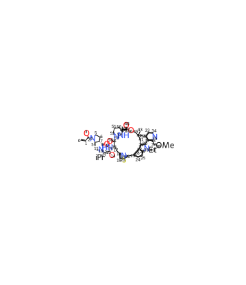 C=CC(=O)N1CC[C@H](C(=O)N(C)[C@H](C(=O)N[C@H]2Cc3csc(n3)-c3ccc4c(c3)c(c(-c3cccnc3COC)n4CC)CC(C)(C)COC(=O)[C@@H]3CCCN(N3)C2=O)C(C)C)C1